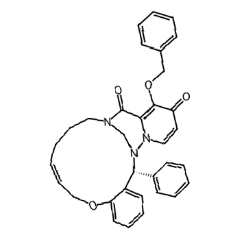 O=C1c2c(OCc3ccccc3)c(=O)ccn2N2CN1CCC/C=C\COc1ccccc1[C@H]2c1ccccc1